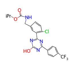 CC(C)OC(=O)NCc1ccc(Cl)c(-c2nc(O)nc(-c3ccc(C(F)(F)F)cc3)n2)c1